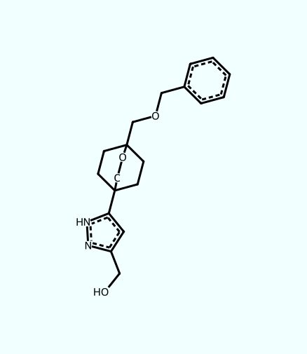 OCc1cc(C23CCC(COCc4ccccc4)(CC2)OC3)[nH]n1